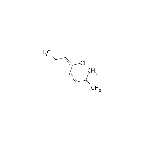 CC/C=C(Cl)\C=C/C(C)C